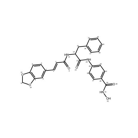 O=C(/C=C/c1ccc2c(c1)OCO2)NC(Cc1ccccc1)C(=O)Nc1ccc(C(=O)NO)cc1